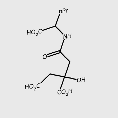 CCCC(NC(=O)CC(O)(CC(=O)O)C(=O)O)C(=O)O